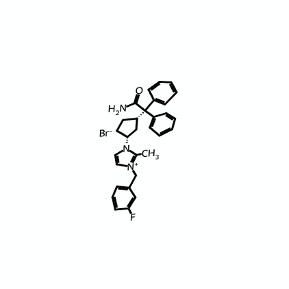 Cc1n([C@@H]2CC[C@H](C(C(N)=O)(c3ccccc3)c3ccccc3)C2)cc[n+]1Cc1cccc(F)c1.[Br-]